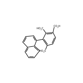 O=C(O)c1ccc(S(=O)(=O)O)c(-c2cccc3ccccc23)c1C(=O)O